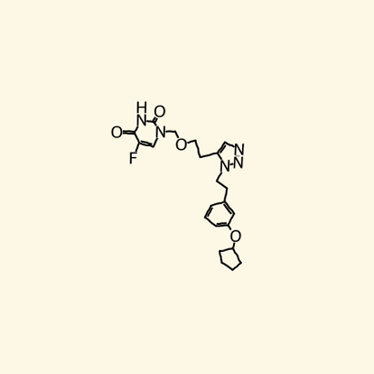 O=c1[nH]c(=O)n(COCCc2cnnn2CCc2cccc(OC3CCCC3)c2)cc1F